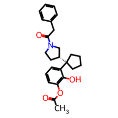 CC(=O)Oc1cccc(C2([C@@H]3CCN(C(=O)Cc4ccccc4)C3)CCCC2)c1O